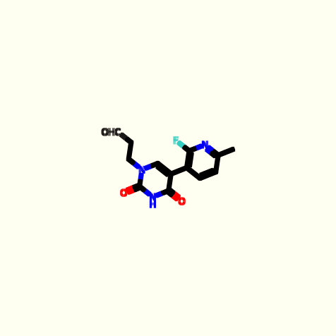 Cc1ccc(-c2cn(CCC=O)c(=O)[nH]c2=O)c(F)n1